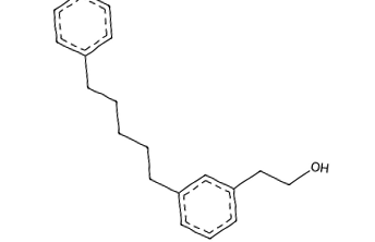 OCCc1cccc(CCCCCc2ccccc2)c1